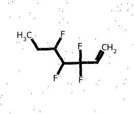 C=CC(F)(F)C(F)C(F)CC